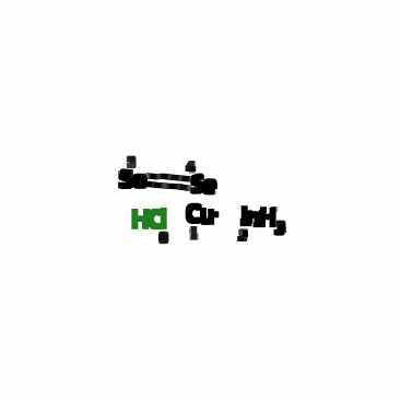 Cl.[Cu].[InH3].[Se]=[Se]